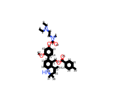 CCN(CC)CCN(C)C(=O)Oc1ccc(-c2ccc3c(c2COC(=O)c2ccc(C)cc2)C(C)=CC(C)(C)N3)c(OC)c1